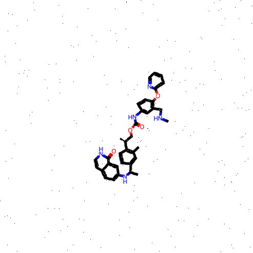 CNCc1cc(NC(=O)OC[C@H](C)c2ccc(C(C)Nc3ccc4cc[nH]c(=O)c4c3)cc2C)ccc1Oc1ccccn1